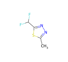 Cc1nnc(C(F)F)s1